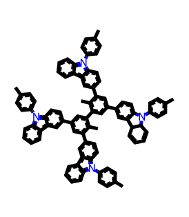 Cc1ccc(N2c3ccc(-c4cc(-c5ccc6c(c5)c5ccccc5n6-c5ccc(C)cc5)c(C)c(-c5cc(-c6ccc7c(c6)c6ccccc6n7-c6ccc(C)cc6)cc(-c6ccc7c(c6)c6ccccc6n7-c6ccc(C)cc6)c5C)c4)cc3C3C=CC=CC32)cc1